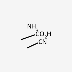 CC#N.CC(=O)O.N